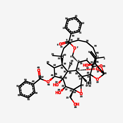 C=C(C)[C@]12C[C@@H](COC(=O)c3ccccc3)[C@@]34OC5(O[C@@H]1[C@@H]3C1O[C@]1(CO)[C@@H](O)[C@@]1(O)[C@H]4[C@@H](C(C)CCCCCC[C@@H]5O)C(C)[C@@H]1OC(=O)c1ccccc1)O2